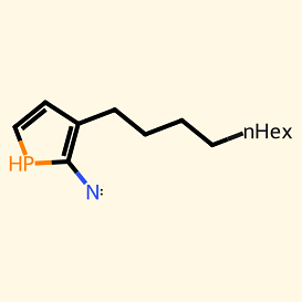 CCCCCCCCCCc1cc[pH]c1[N]